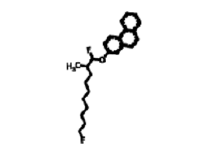 CC(CCCCCCCCF)C(F)Oc1ccc2c(ccc3ccccc32)c1